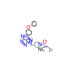 N#C/C(=C\C1CC1)C(=O)N1CCC(Cn2nc(-c3ccc(Oc4ccccc4)cc3)c3c(N)ncnc32)CC1